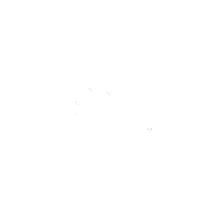 COC(=O)c1cc(-c2ncnc3c2[C@H](C)CC(=O)N3)cs1